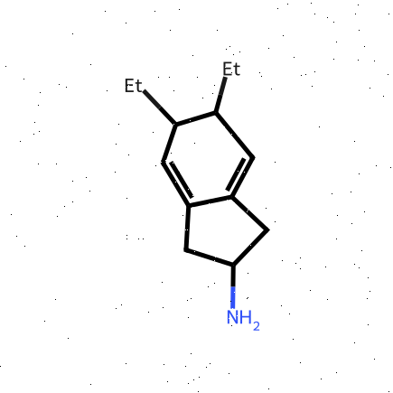 CCC1C=C2CC(N)CC2=CC1CC